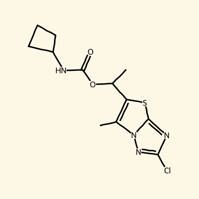 Cc1c(C(C)OC(=O)NC2CCC2)sc2nc(Cl)nn12